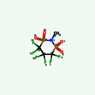 CN1S(=O)(=O)C(F)(F)C(F)(F)C(F)(F)S1(=O)=O